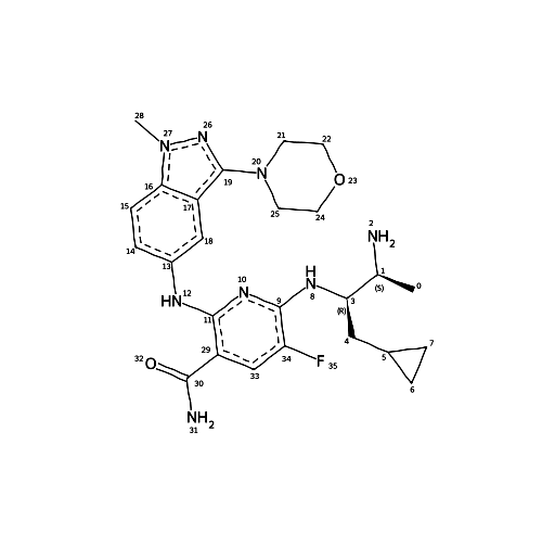 C[C@H](N)[C@@H](CC1CC1)Nc1nc(Nc2ccc3c(c2)c(N2CCOCC2)nn3C)c(C(N)=O)cc1F